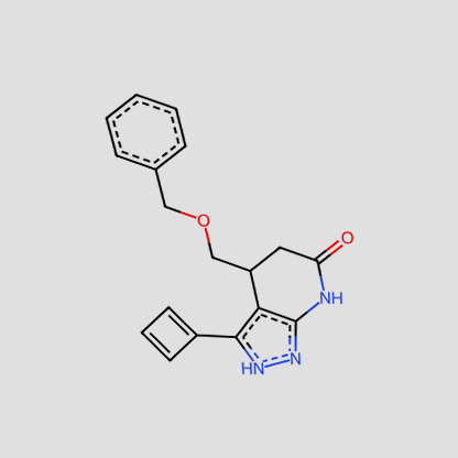 O=C1CC(COCc2ccccc2)c2c(n[nH]c2C2=CC=C2)N1